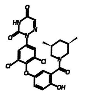 C[C@@H]1C[C@H](C)CN(C(=O)c2cc(Oc3c(Cl)cc(-n4ncc(=O)[nH]c4=O)cc3Cl)ccc2O)C1